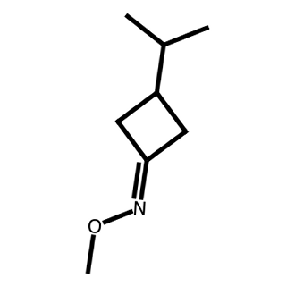 CON=C1CC(C(C)C)C1